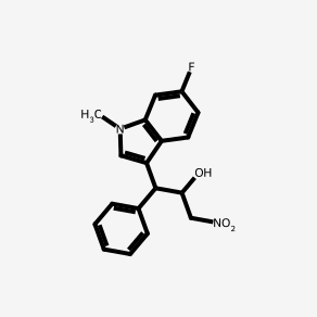 Cn1cc(C(c2ccccc2)C(O)C[N+](=O)[O-])c2ccc(F)cc21